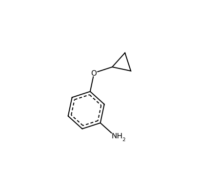 Nc1cccc(OC2CC2)c1